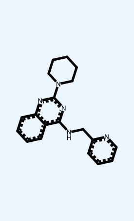 c1ccc(CNc2nc(N3CCCCC3)nc3ccccc23)nc1